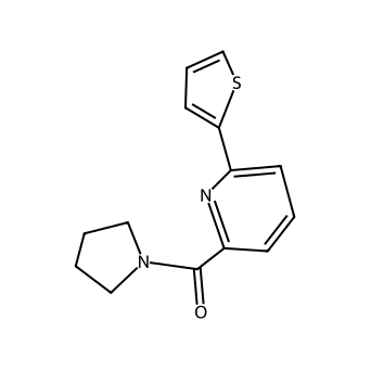 O=C(c1cccc(-c2cccs2)n1)N1CCCC1